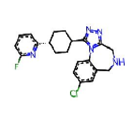 Fc1cccc([C@H]2CC[C@H](c3nnc4n3-c3ccc(Cl)cc3CNC4)CC2)n1